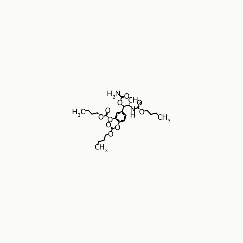 CCCCOC(=O)N[C@@H](C)C(OC(N)=O)c1ccc(OC(=O)OCCCC)c(OC(=O)OCCCC)c1